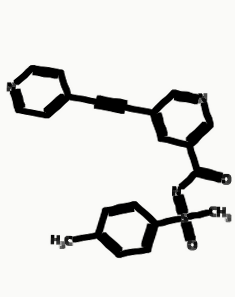 Cc1ccc(S(C)(=O)=NC(=O)c2cncc(C#Cc3ccncc3)c2)cc1